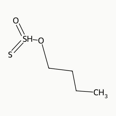 CCCCO[SH](=O)=S